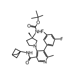 Cc1ncc(C(=O)NC23CC(C2)C3)c(N2CC[C@](C)(NC(=O)OC(C)(C)C)C2)c1-c1cc(F)cc(F)c1